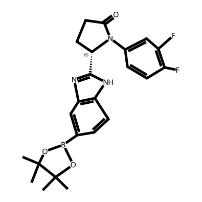 CC1(C)OB(c2ccc3[nH]c([C@@H]4CCC(=O)N4c4ccc(F)c(F)c4)nc3c2)OC1(C)C